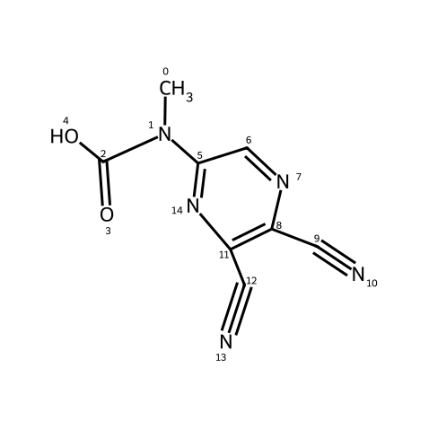 CN(C(=O)O)c1cnc(C#N)c(C#N)n1